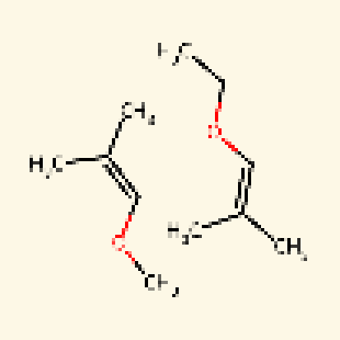 CCOC=C(C)C.COC=C(C)C